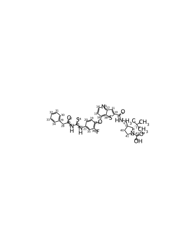 CC(C)(C)[C@H]1C(CNC(=O)c2cc3nccc(Oc4ccc(NC(=S)NC(=O)Cc5ccccc5)cc4F)c3s2)CCN1C(=O)O